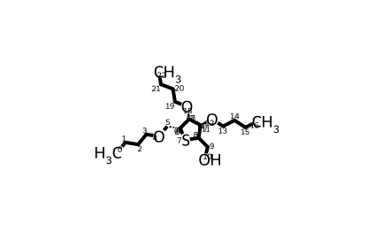 CCCCOC[C@H]1SC(CO)[C@H](OCCCC)[C@H]1OCCCC